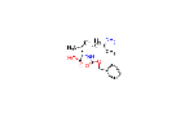 CC(C)N.CC(C)[C@@H](NC(=O)OCc1ccccc1)C(=O)O